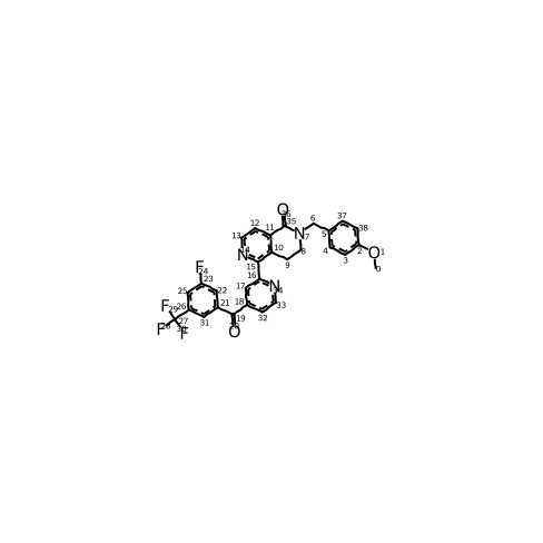 COc1ccc(CN2CCc3c(ccnc3-c3cc(C(=O)c4cc(F)cc(C(F)(F)F)c4)ccn3)C2=O)cc1